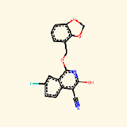 N#Cc1c(O)nc(OCc2cccc3c2OCO3)c2cc(F)ccc12